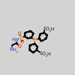 NCC(=O)NS(=O)(=O)c1cccc(P(c2cccc(S(=O)(=O)O)c2)c2cccc(S(=O)(=O)O)c2)c1